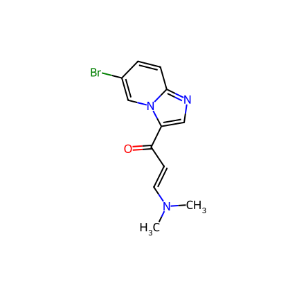 CN(C)C=CC(=O)c1cnc2ccc(Br)cn12